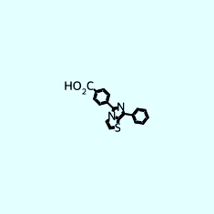 O=C(O)c1ccc(-c2nc(-c3ccccc3)c3sccn23)cc1